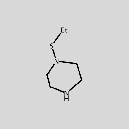 CCSN1CCNCC1